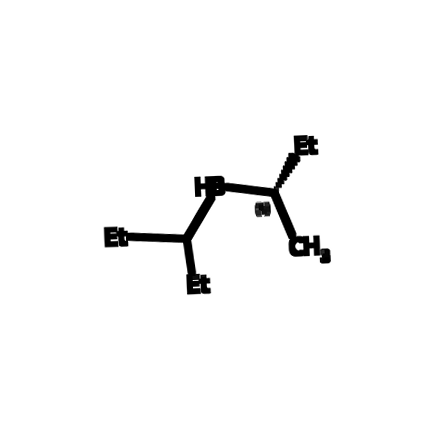 CCC(B[C@@H](C)CC)CC